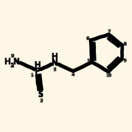 N[PH](=S)NCc1ccccc1